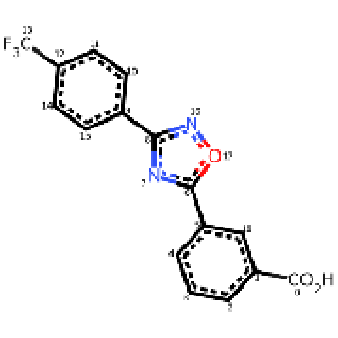 O=C(O)c1cccc(-c2nc(-c3ccc(C(F)(F)F)cc3)no2)c1